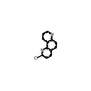 Clc1ccc2ccc3ncccc3c2n1